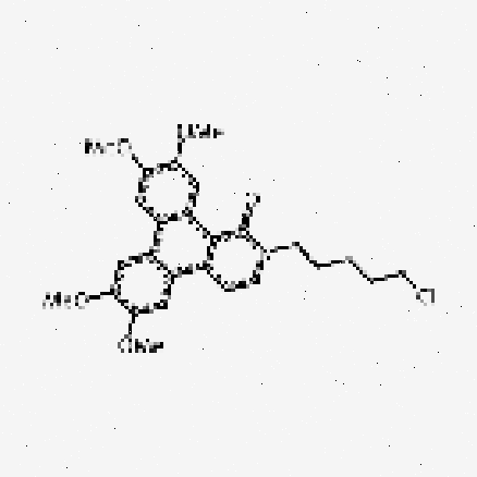 COc1cc2c(cc1OC)c1ccn(CCCCCCl)c(=O)c1c1cc(OC)c(OC)cc21